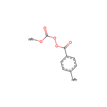 CCCOC(=O)OOC(=O)c1ccc(CCC)cc1